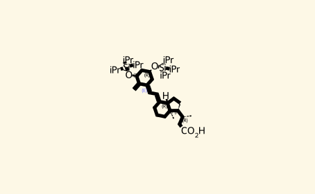 C=C1/C(=C/C=C2CCC[C@]3(C)[C@@H]([C@H](C)CC(=O)O)CC[C@@H]23)C[C@@H](O[Si](C(C)C)(C(C)C)C(C)C)C[C@@H]1O[Si](C(C)C)(C(C)C)C(C)C